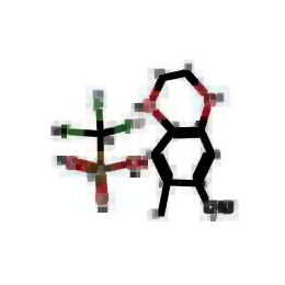 Cc1cc2c(cc1C=O)OCCO2.O=S(=O)(O)C(F)(F)F